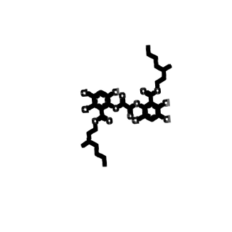 CCCCC(C)CCOC(=O)c1c(Cl)c(Cl)cc(Cl)c1OC(=O)C(=O)Oc1c(Cl)cc(Cl)c(Cl)c1C(=O)OCCC(C)CCCC